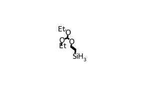 CCOC(OC=C[SiH3])OCC